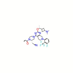 C=CC(=O)N1CCN(c2nc(O[C@H](C)C3CC(N(C)C)C3)nc3c2CCN(c2cccc(F)c2C(F)(F)F)C3)C[C@@H]1CC#N